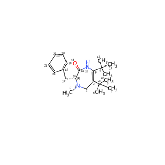 CN1CC(C(C)(C)C)=C(C(C)(C)C)NC(=O)[C@H]1Cc1ccccc1